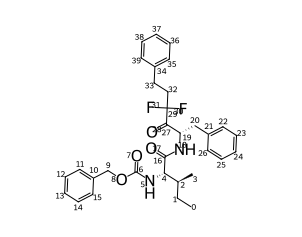 CC[C@H](C)[C@H](NC(=O)OCc1ccccc1)C(=O)N[C@@H](Cc1ccccc1)C(=O)C(F)(F)CCc1ccccc1